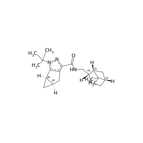 CC1(C)[C@H]2CC[C@H](CNC(=O)c3nn(C(C)(C)C)c4c3C[C@H]3C[C@@H]43)[C@@H]1C2